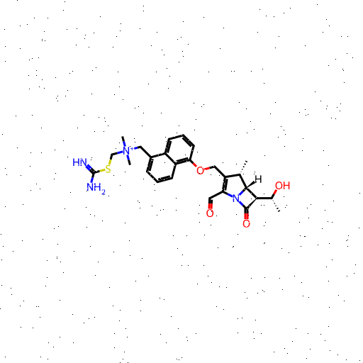 C[C@@H](O)[C@H]1C(=O)N2C(C=O)=C(COc3cccc4c(C[N+](C)(C)CSC(=N)N)cccc34)[C@H](C)[C@H]12